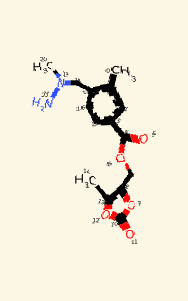 Cc1cc(C(=O)OCc2oc(=O)oc2C)ccc1CN(C)N